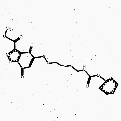 COC(=O)c1noc2c1C(=O)C(SCCOCCNC(=O)Oc1ccccc1)=CC2=O